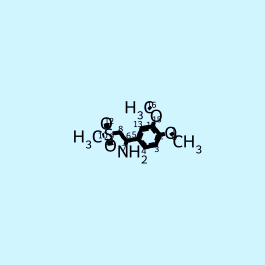 COc1ccc(C(N)CS(C)(=O)=O)cc1OC